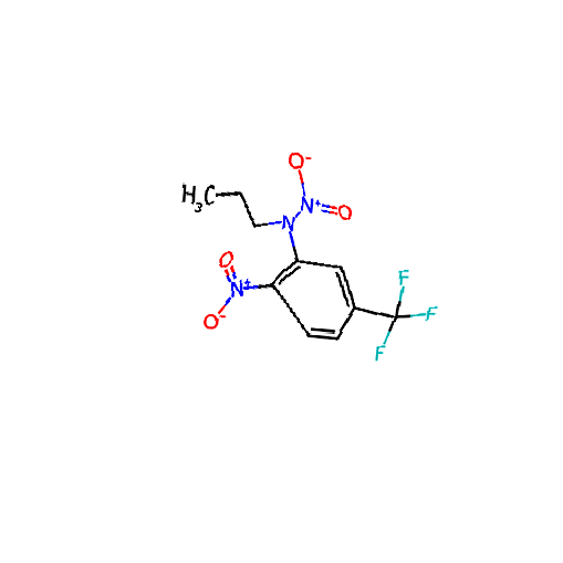 CCCN(c1cc(C(F)(F)F)ccc1[N+](=O)[O-])[N+](=O)[O-]